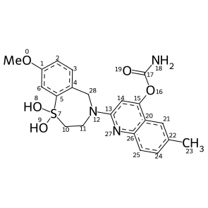 COc1ccc2c(c1)S(O)(O)CCN(c1cc(OC(N)=O)c3cc(C)ccc3n1)C2